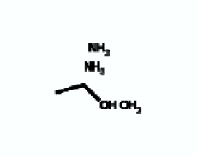 CCO.N.N.O